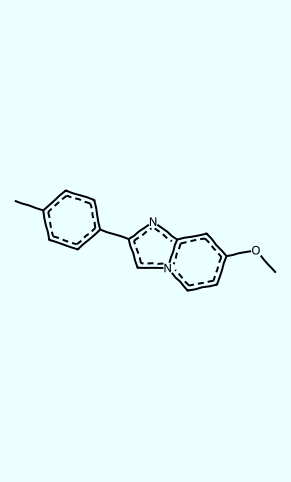 COc1ccn2cc(-c3ccc(C)cc3)nc2c1